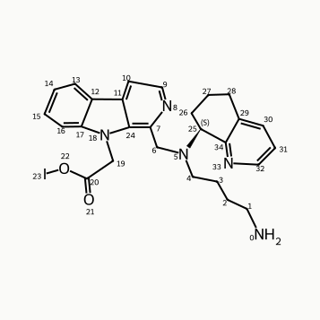 NCCCCN(Cc1nccc2c3ccccc3n(CC(=O)OI)c12)[C@H]1CCCc2cccnc21